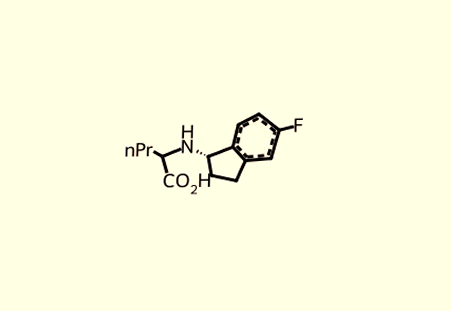 CCCC(N[C@H]1CCc2cc(F)ccc21)C(=O)O